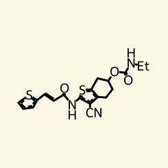 CCNC(=O)OC1CCc2c(sc(NC(=O)C=Cc3cccs3)c2C#N)C1